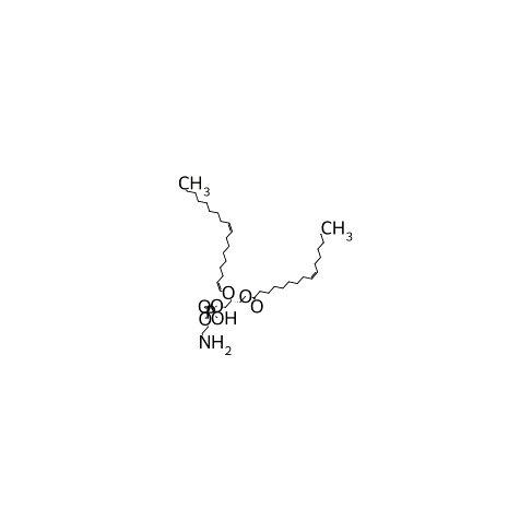 CCCCCC/C=C\CCCCCCCC(=O)OC[C@H](COP(=O)(O)OCCN)O/C=C\CCCCCC/C=C\CCCCCCCC